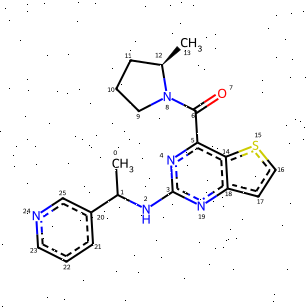 CC(Nc1nc(C(=O)N2CCC[C@H]2C)c2sccc2n1)c1cccnc1